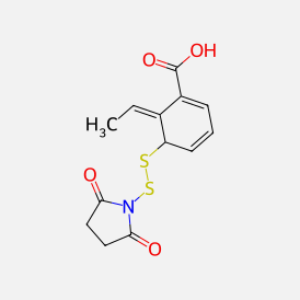 CC=C1C(C(=O)O)=CC=CC1SSN1C(=O)CCC1=O